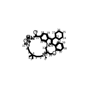 CN1CCC(C)(C)CCN(C)S(=O)(=O)NC(=O)c2ccc3c(C4CCCCC4)c4n(c3c2)C[C@@H]1COc1ccccc1-4